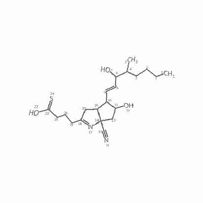 CCCCC(C)C(O)C=CC1C(O)CC2(C#N)N=C(CCCC(O)=S)CC12